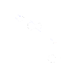 CC1CC(Cn2ccc3nc(-c4cn[nH]c4)ccc32)CN1C(=O)CCc1ccccc1F